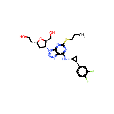 CCCSc1nc(N[C@@H]2C[C@H]2c2ccc(F)c(F)c2)c2nnn([C@@H]3C[C@H](CCO)O[C@H]3CO)c2n1